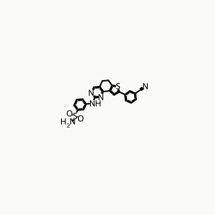 N#Cc1cccc(-c2cc3c(s2)CCc2cnc(Nc4cccc(S(N)(=O)=O)c4)nc2-3)c1